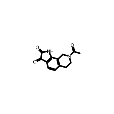 CC(=O)N1CCc2ccc3c(c2C1)NC(=O)C3=O